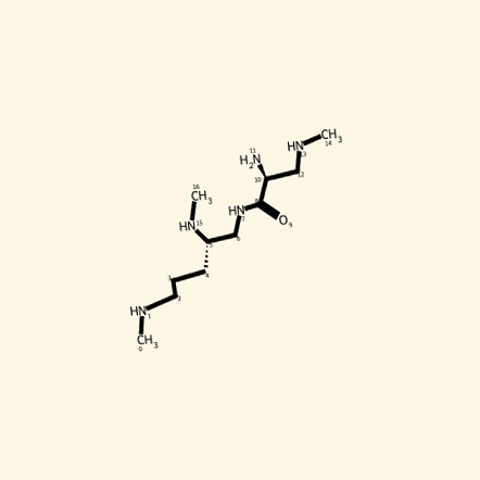 CNCCC[C@@H](CNC(=O)[C@@H](N)CNC)NC